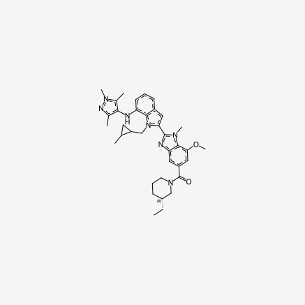 CC[C@@H]1CCCN(C(=O)c2cc(OC)c3c(c2)nc(-c2cc4cccc(Nc5c(C)nn(C)c5C)c4n2CC2CC2C)n3C)C1